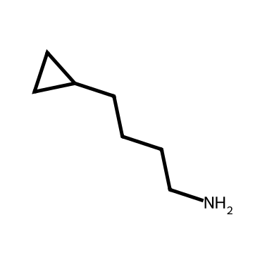 NCCCCC1CC1